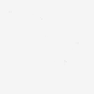 CCCS(=O)(=O)NCCOc1ccc2c(c1)C(C1(c3ccc(Cl)cc3)CCC1)NCC2(C)C.Cl